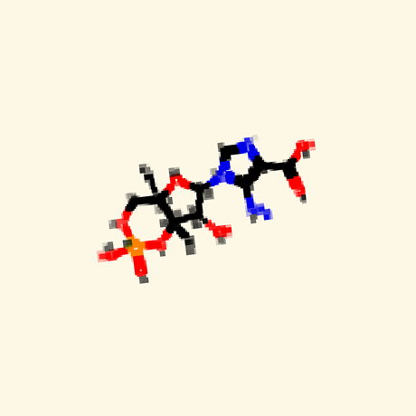 Nc1c(C(=O)O)ncn1[C@@H]1O[C@@H]2COP(=O)(O)O[C@H]2[C@H]1O